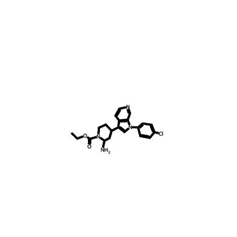 CCOC(=O)N1CCC(c2cn(-c3ccc(Cl)cc3)c3cnccc23)CC1N